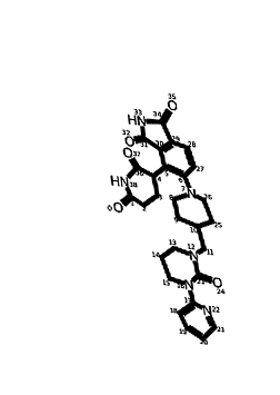 O=C1CCC(c2c(N3CCC(CN4CCCN(c5ccccn5)C4=O)CC3)ccc3c2C(=O)NC3=O)C(=O)N1